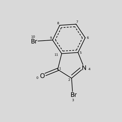 O=C1C(Br)=Nc2cccc(Br)c21